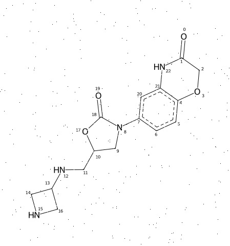 O=C1COc2ccc(N3CC(CNC4CNC4)OC3=O)cc2N1